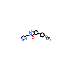 O=c1c2cc(-c3ccc(OC(F)(F)F)cc3)ccc2nnn1CCc1ccncn1